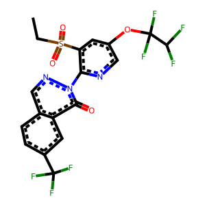 CCS(=O)(=O)c1cc(OC(F)(F)C(F)F)cnc1-n1ncc2ccc(C(F)(F)F)cc2c1=O